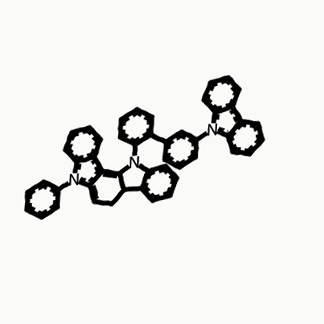 C1=c2c(c3ccccc3n2-c2ccccc2)=C2C(C1)c1ccccc1N2c1ccccc1-c1cccc(-n2c3ccccc3c3ccccc32)c1